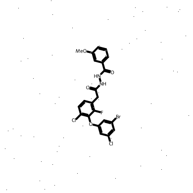 COc1cccc(C(=O)NNC(=O)Cc2ccc(Cl)c(Oc3cc(Cl)cc(Br)c3)c2F)c1